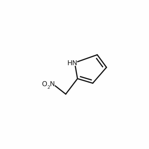 O=[N+]([O-])Cc1ccc[nH]1